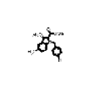 COC(=O)c1c(OC)c2cc(C)ccc2n1Cc1ccc(Cl)cc1